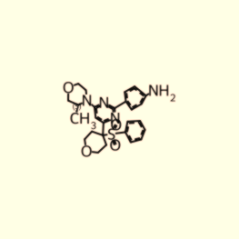 C[C@H]1COCCN1c1cc(C2(S(=O)(=O)c3ccccc3)CCOCC2)nc(-c2ccc(N)cc2)n1